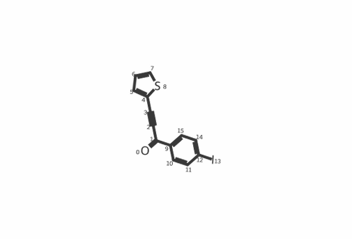 O=C(C#Cc1cccs1)c1ccc(I)cc1